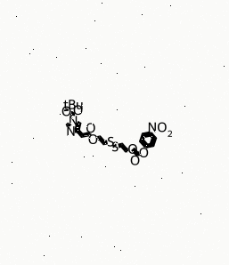 CC(C)(C)OC(=O)n1cnc(CC(=O)OCCSSCCOC(=O)Oc2ccc([N+](=O)[O-])cc2)c1